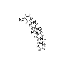 CC(=O)c1cccc(-c2ncc(C(=O)NC3CCN(Cc4ccccn4)CC3)cn2)c1